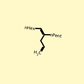 C=CCC(=CCCCCCC)CCCCC